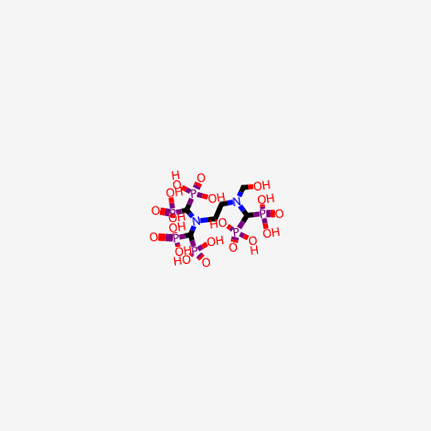 O=P(O)(O)C(N(CO)CCN(C(P(=O)(O)O)P(=O)(O)O)C(P(=O)(O)O)P(=O)(O)O)P(=O)(O)O